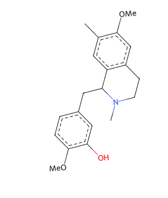 COc1cc2c(cc1C)C(Cc1ccc(OC)c(O)c1)N(C)CC2